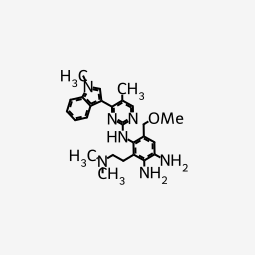 COCc1cc(N)c(N)c(CCN(C)C)c1Nc1ncc(C)c(-c2cn(C)c3ccccc23)n1